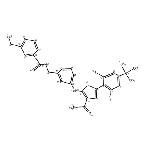 CC(C)(O)c1cc(F)c(-c2cc(C(N)=O)c(Nc3cccc(CNC(=O)c4ccnc(CO)c4)n3)s2)c(F)c1